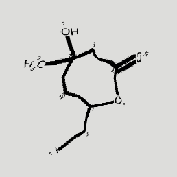 CC1(O)CC(=O)OC(CI)C1